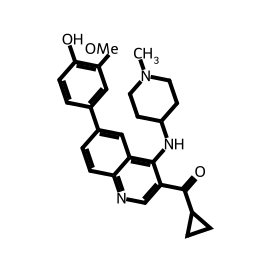 COc1cc(-c2ccc3ncc(C(=O)C4CC4)c(NC4CCN(C)CC4)c3c2)ccc1O